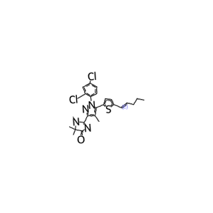 CCC/C=C/c1ccc(-c2c(C)c(C3=NC(=O)C(C)(C)N3C)nn2-c2ccc(Cl)cc2Cl)s1